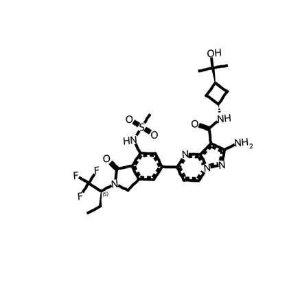 CC[C@H](N1Cc2cc(-c3ccn4nc(N)c(C(=O)N[C@H]5C[C@H](C(C)(C)O)C5)c4n3)cc(NS(C)(=O)=O)c2C1=O)C(F)(F)F